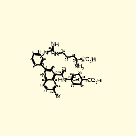 Cc1c(-c2ccccc2)nc2ccc(Br)cc2c1C(=O)NC12CCC(C(=O)O)(CC1)CC2.N=C(N)NCCC[C@H](N)C(=O)O